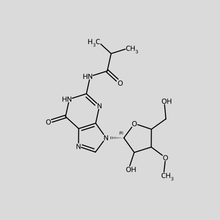 COC1C(CO)O[C@@H](n2cnc3c(=O)[nH]c(NC(=O)C(C)C)nc32)C1O